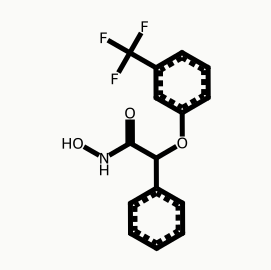 O=C(NO)C(Oc1cccc(C(F)(F)F)c1)c1ccccc1